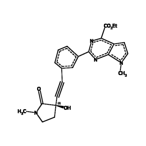 CCOC(=O)c1nc(-c2cccc(C#C[C@]3(O)CCN(C)C3=O)c2)nc2c1ccn2C